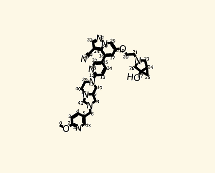 COc1ccc(CN2CC3CN(c4ccc(-c5cc(OCCN6CC7CC7(O)C6)cn6ncc(C#N)c56)cn4)CCN3C2)cn1